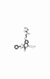 CC(C)(C)OC(=O)NCCOc1ccc2c(c1)[C@H]1CN(C(=O)N1OCc1ccccc1)[C@H]2C(=O)O